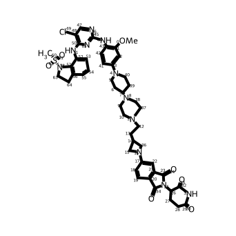 COc1cc(N2CCC(N3CCN(CCC4CN(c5ccc6c(c5)C(=O)N(C5CCC(=O)NC5=O)C6=O)C4)CC3)CC2)ccc1Nc1ncc(Cl)c(Nc2cccc3c2N(S(C)(=O)=O)CC3)n1